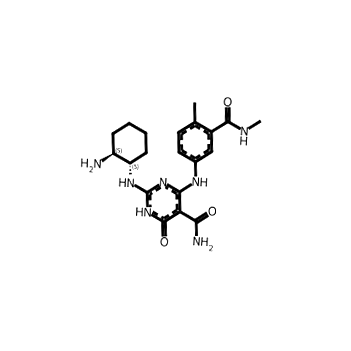 CNC(=O)c1cc(Nc2nc(N[C@H]3CCCC[C@@H]3N)[nH]c(=O)c2C(N)=O)ccc1C